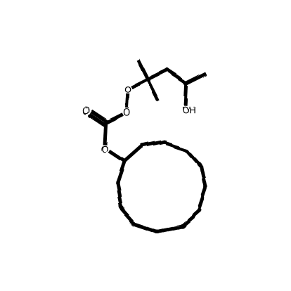 CC(O)CC(C)(C)OOC(=O)OC1CCCCCCCCCCC1